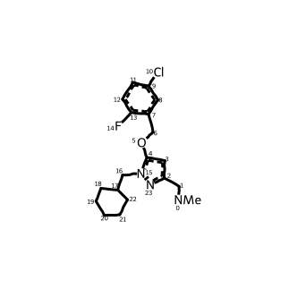 CNCc1cc(OCc2cc(Cl)ccc2F)n(CC2CCCCC2)n1